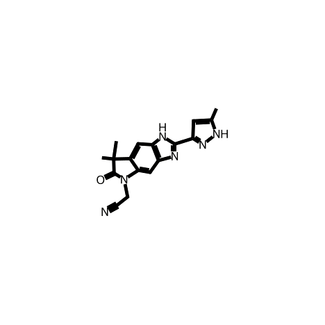 Cc1cc(-c2nc3cc4c(cc3[nH]2)C(C)(C)C(=O)N4CC#N)n[nH]1